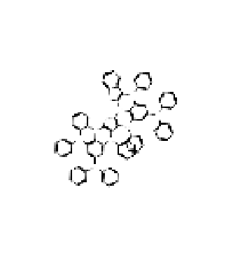 c1ccc(N(c2ccccc2)c2cc3c4c(c2)N(c2ccccc2)c2c(sc5c2N(c2ccccc2)c2cc(N(c6ccccc6)c6ccccc6)cc6c2B5c2sc5ccccc5c2N6c2ccccc2)B4c2ccccc2N3c2ccccc2)cc1